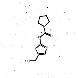 O=C(Nc1ncc(CO)s1)N1CCCC1